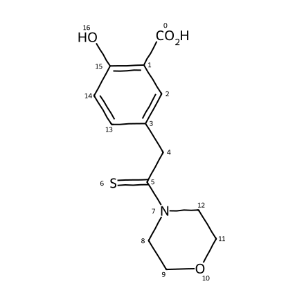 O=C(O)c1cc(CC(=S)N2CCOCC2)ccc1O